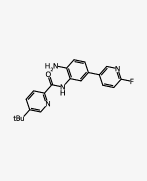 CC(C)(C)c1ccc(C(=O)Nc2cc(-c3ccc(F)nc3)ccc2N)nc1